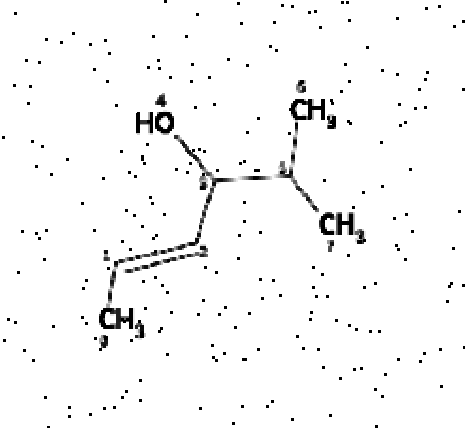 CC=CC(O)C(C)C